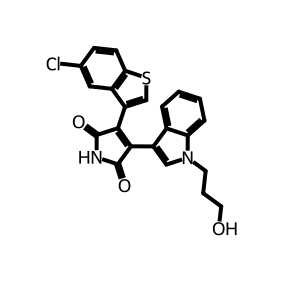 O=C1NC(=O)C(c2cn(CCCO)c3ccccc23)=C1c1csc2ccc(Cl)cc12